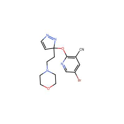 N#Cc1cc(Br)cnc1OC1(CCN2CCOCC2)C=CN=N1